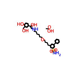 CC(=O)O.NS(=O)(=O)c1cc(CCCCOCCCCCCNC[C@H](O)c2ccc(O)c(CO)c2)cc(-c2ccccc2)c1